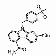 CCCCc1c[c]c2c3c(C(N)=O)cccc3n(Cc3ccc(S(C)(=O)=O)cc3)c2c1